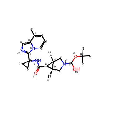 Cc1cccn2c(C3(NC(=O)[C@H]4[C@@H]5CN(C(O)OC(C)(C)C)C[C@@H]54)CC3)ncc12